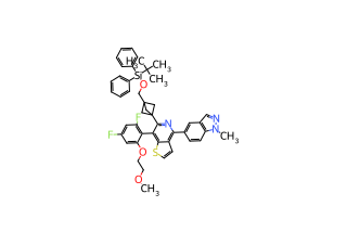 COCCOc1cc(F)cc(F)c1-c1c(C23CC(CO[Si](c4ccccc4)(c4ccccc4)C(C)(C)C)(C2)C3)nc(-c2ccc3c(cnn3C)c2)c2ccsc12